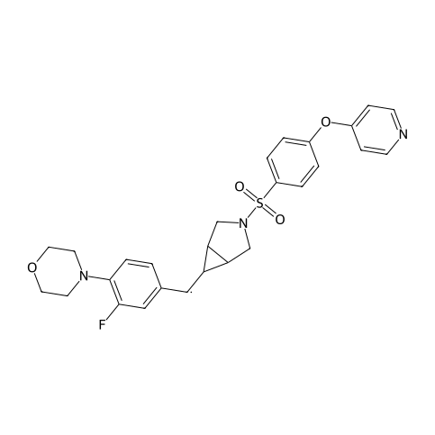 O=S(=O)(c1ccc(Oc2ccncc2)cc1)N1CC2C([CH]c3ccc(N4CCOCC4)c(F)c3)C2C1